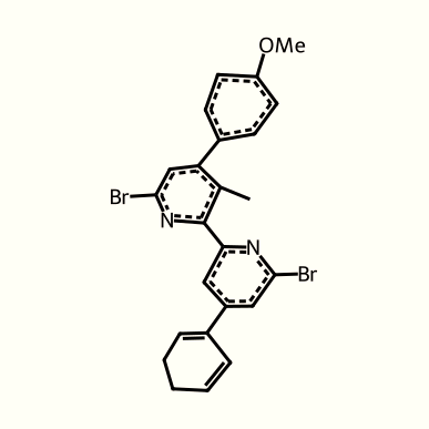 COc1ccc(-c2cc(Br)nc(-c3cc(C4=CCCC=C4)cc(Br)n3)c2C)cc1